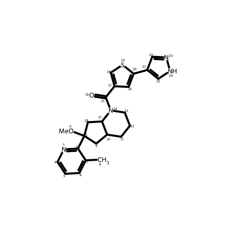 COC1(c2ncccc2C)CC2CCCN(C(=O)c3csc(-c4cn[nH]c4)c3)C2C1